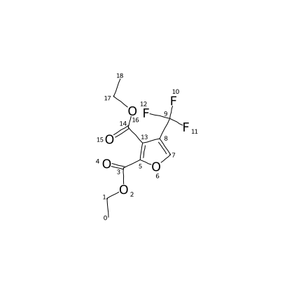 CCOC(=O)c1occ(C(F)(F)F)c1C(=O)OCC